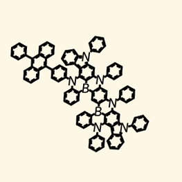 c1ccc(-c2c3ccccc3c(-c3ccc(N4c5ccccc5B5c6cc7c(cc6N(c6ccccc6)c6cc8c(c4c65)c4ccccc4n8-c4ccccc4)N(c4ccccc4)c4cc5c(c6c4B7c4ccccc4N6c4ccccc4)c4ccccc4n5-c4ccccc4)cc3)c3ccccc23)cc1